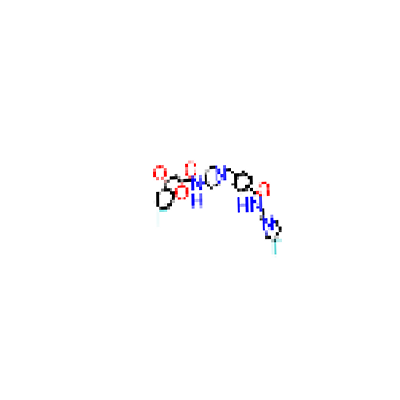 O=C(NCCN1CC[C@@H](F)C1)c1ccc(CN2CCC(NC(=O)c3cc(=O)c4ccc(F)cc4o3)CC2)cc1